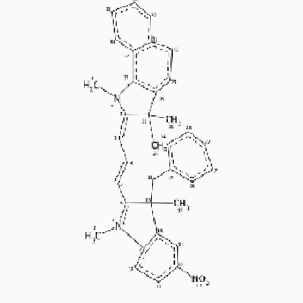 CN1/C(=C/C=C/C2=[N+](C)c3ccc([N+](=O)[O-])cc3C2(C)Cc2ccccc2)C(C)(C)c2ccc3ccccc3c21